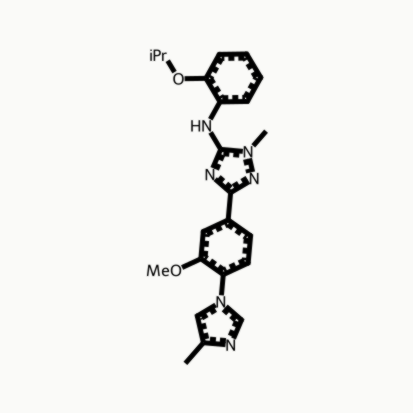 COc1cc(-c2nc(Nc3ccccc3OC(C)C)n(C)n2)ccc1-n1cnc(C)c1